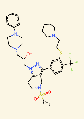 CS(=O)(=O)N1CCc2c(c(-c3ccc(C(F)(F)F)c(SCCN4CCCCC4)c3)nn2CC(O)CN2CCN(c3ccccc3)CC2)C1